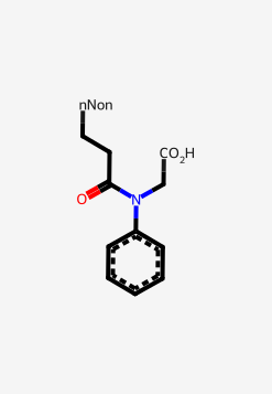 CCCCCCCCCCCC(=O)N(CC(=O)O)c1ccccc1